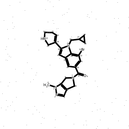 Cn1ncc2c1CN(C(=O)c1cc(Br)c3c(c1)cc(C1=CCCNC1)n3CC1CC1)C2